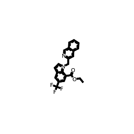 CCOC(=O)c1cc(C(F)(F)F)cc2ccn(Cc3cc4ccccc4cn3)c12